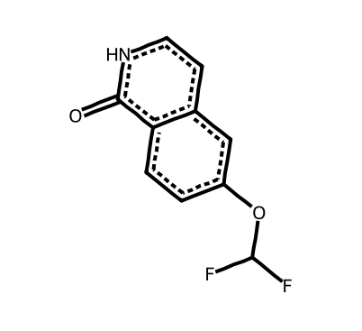 O=c1[nH]ccc2cc(OC(F)F)ccc12